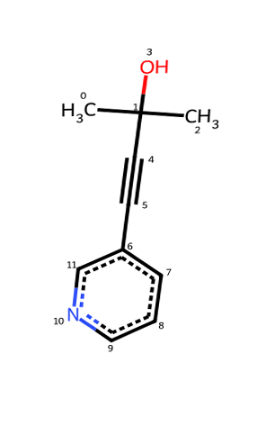 CC(C)(O)C#Cc1cccnc1